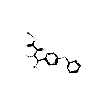 CC[C@H](C(=N)C(=O)OC(C)(C)C)C(S)c1ccc(Oc2ccccc2)cc1